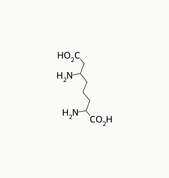 NC(CCCC(N)C(=O)O)CC(=O)O